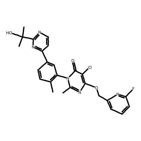 Cc1ccc(-c2ccnc(C(C)(C)O)n2)cc1-n1c(C)nc(OCc2cccc(F)n2)c(Cl)c1=O